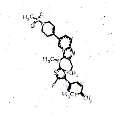 C=C(F)/C=C\C(=C/C)c1nc(N(C)c2c(CC)nc3ccc(C4=CCN(S(C)(=O)=O)CC4)cn23)sc1F